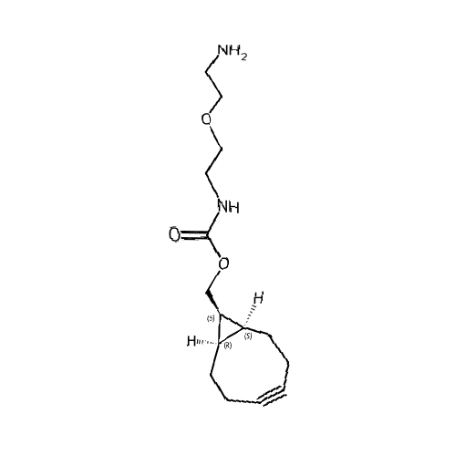 NCCOCCNC(=O)OC[C@@H]1[C@@H]2CCC#CCC[C@@H]21